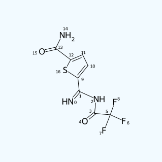 N=C(NC(=O)C(F)(F)F)c1ccc(C(N)=O)s1